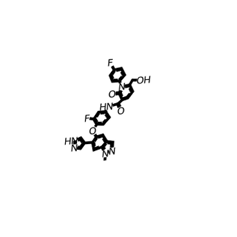 Cn1ncc2cc(Oc3ccc(NC(=O)c4ccc(CO)n(-c5ccc(F)cc5)c4=O)cc3F)c(-c3cn[nH]c3)cc21